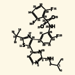 CC(C)CNc1nccc(-c2sc(C(C)(C)C)nc2-c2ccc(F)c(NS(=O)(=O)c3c(F)cccc3F)c2)n1